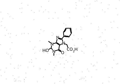 CN1C(=O)c2c(nc(-c3ccccc3)n2CC(=O)O)N(C)C1O